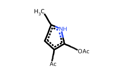 CC(=O)Oc1[nH]c(C)cc1C(C)=O